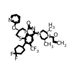 C=CC(=O)N1[C@H](C)CN(c2nc(=O)n3c4c(c(C5CCC(F)(F)CC5)c(C(F)(F)F)cc24)SC[C@@H](Oc2ccccn2)C3)C[C@@H]1C